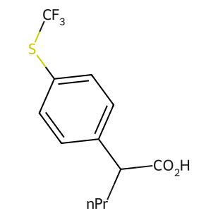 CCCC(C(=O)O)c1ccc(SC(F)(F)F)cc1